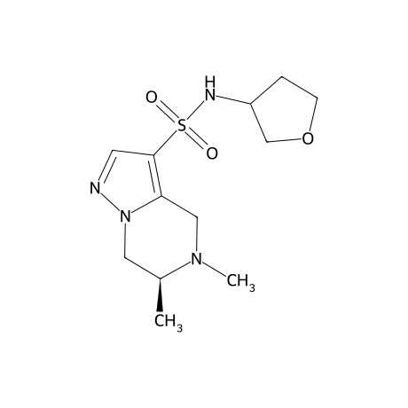 C[C@H]1Cn2ncc(S(=O)(=O)NC3CCOC3)c2CN1C